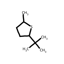 CC1CCC(C(C)(C)C)S1